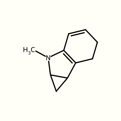 CN1C2=C(CCC=C2)C2CC21